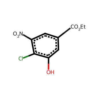 CCOC(=O)c1cc(O)c(Cl)c([N+](=O)[O-])c1